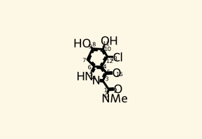 CNC(=O)c1n[nH]c2cc(O)c(O)c(Cl)c2c1=O